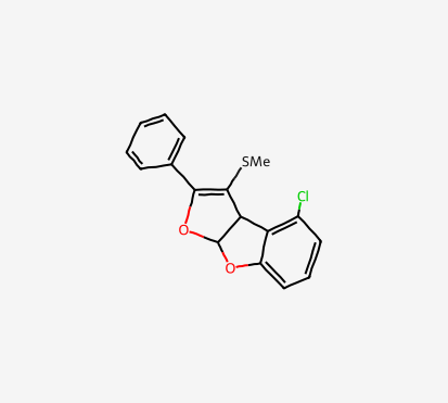 CSC1=C(c2ccccc2)OC2Oc3cccc(Cl)c3C12